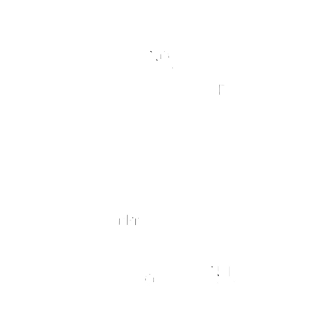 CCCC(C)(C(N)=O)c1ccc([N+](=O)[O-])c(F)c1